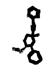 CCOC(=O)[C@@H]1CCC(F)(C#Cc2cnccn2)C[C@H]1c1ccccc1